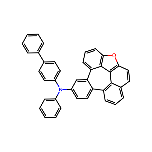 c1ccc(-c2ccc(N(c3ccccc3)c3ccc4c(c3)-c3cccc5oc6ccc7cccc-4c7c6c35)cc2)cc1